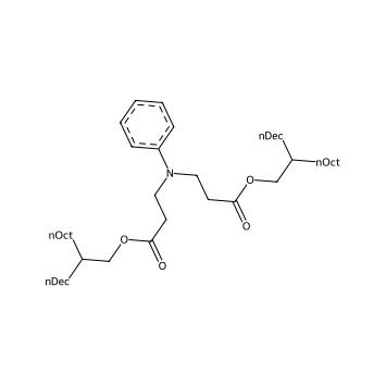 CCCCCCCCCCC(CCCCCCCC)COC(=O)CCN(CCC(=O)OCC(CCCCCCCC)CCCCCCCCCC)c1ccccc1